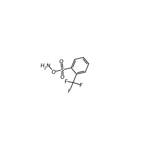 NOS(=O)(=O)c1ccccc1C(F)(F)F